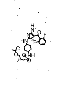 CC(=O)OC[C@@H](C)CS(=O)(=O)NC1CCC(Nc2nc(N)c(C(=O)c3c(F)cccc3F)s2)CC1